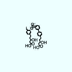 O=C(O)CC(O)CCc1ccc(-c2cccc([N+](=O)[O-])c2)cc1.O=C(O)CC(O)CCc1ccc(I)cc1